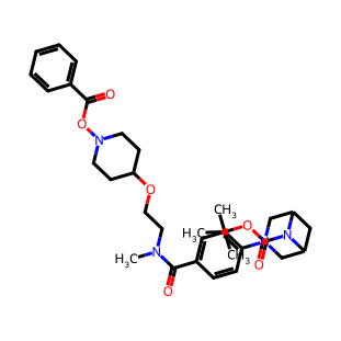 CN(CCOC1CCN(OC(=O)c2ccccc2)CC1)C(=O)c1ccc(N2CC3CC(C2)N3C(=O)OC(C)(C)C)cc1